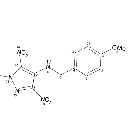 COc1ccc(CNc2c([N+](=O)[O-])nn(C)c2[N+](=O)[O-])cc1